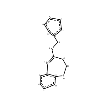 c1ccc(CSC2=Nc3ccccc3SCC2)cc1